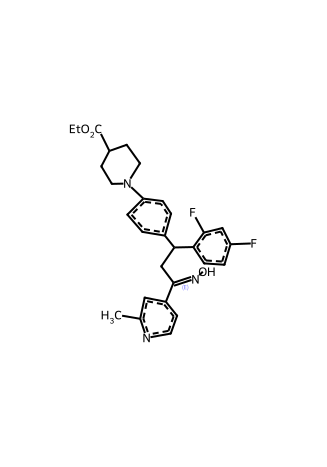 CCOC(=O)C1CCN(c2ccc(C(C/C(=N\O)c3ccnc(C)c3)c3ccc(F)cc3F)cc2)CC1